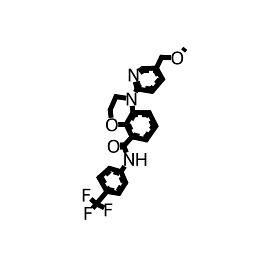 COCc1ccc(N2CCOc3c(C(=O)Nc4ccc(C(F)(F)F)cc4)cccc32)nc1